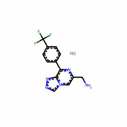 Cl.NCc1cn2cnnc2c(-c2ccc(C(F)(F)F)cc2)n1